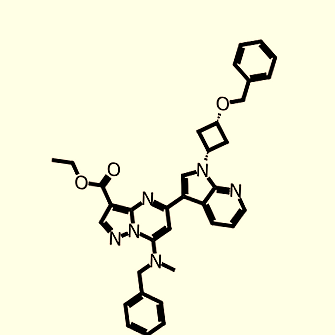 CCOC(=O)c1cnn2c(N(C)Cc3ccccc3)cc(-c3cn([C@H]4C[C@@H](OCc5ccccc5)C4)c4ncccc34)nc12